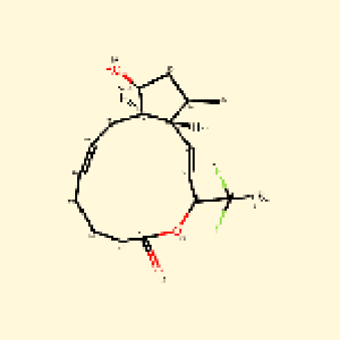 CCCCC(F)(F)C1/C=C/[C@@H]2[C@@H](C/C=C\CCCC(=O)O1)[C@@H](O)C[C@H]2C